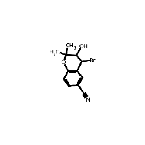 CC1(C)Oc2ccc(C#N)cc2C(Br)C1O